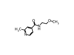 COCCNC(=O)c1ccnc(C)c1